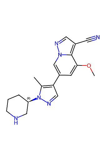 COc1cc(-c2cnn([C@@H]3CCCNC3)c2C)cn2ncc(C#N)c12